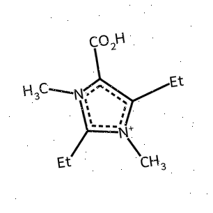 CCc1c(C(=O)O)n(C)c(CC)[n+]1C